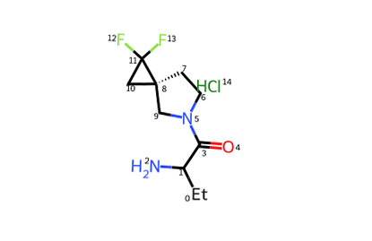 CCC(N)C(=O)N1CC[C@]2(C1)CC2(F)F.Cl